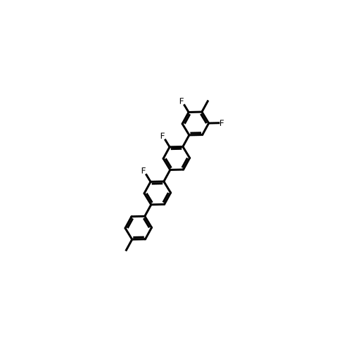 Cc1ccc(-c2ccc(-c3ccc(-c4cc(F)c(C)c(F)c4)c(F)c3)c(F)c2)cc1